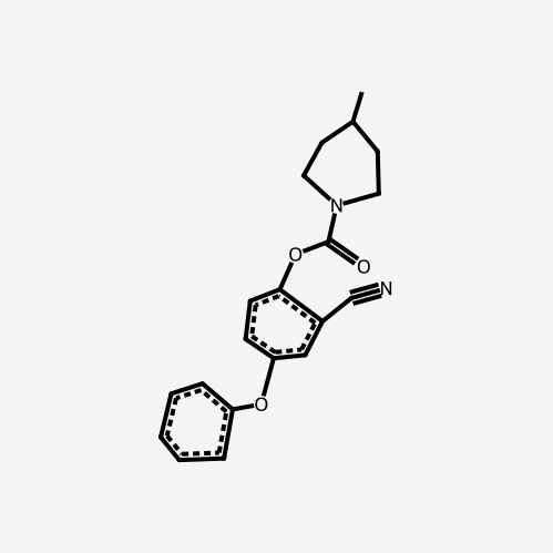 CC1CCN(C(=O)Oc2ccc(Oc3ccccc3)cc2C#N)CC1